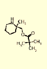 CC1(COC(=O)C(C)(C)C)CCCCN1